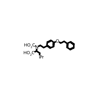 CC(C)CC(C(=O)O)N(CCc1ccc(OCCc2ccccc2)cc1)C(=O)O